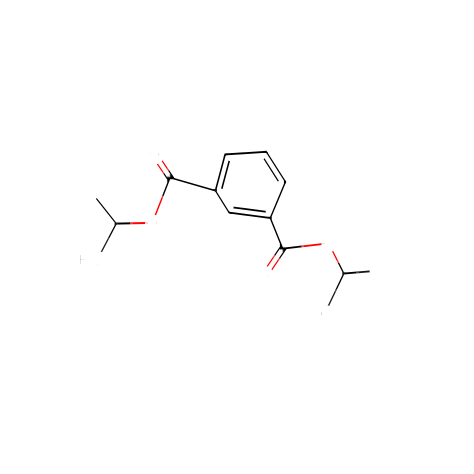 CC(OC(=O)c1cccc(C(=O)OC(C(F)(F)F)C(F)(F)F)c1)C(F)(F)F